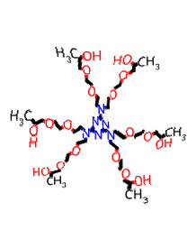 CC(O)COCCOCCN(CCOCCOCC(C)O)c1nc(N(CCOCCOCC(C)O)CCOCCOCC(C)O)nc(N(CCOCCOCC(C)O)CCOCCOCC(C)O)n1